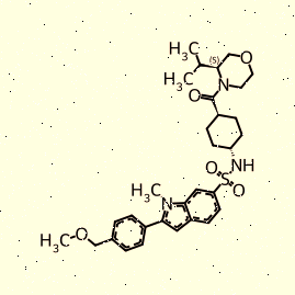 COCc1ccc(-c2cc3ccc(S(=O)(=O)N[C@H]4CC[C@H](C(=O)N5CCOC[C@@H]5C(C)C)CC4)cc3n2C)cc1